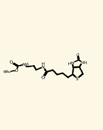 CC(C)(C)OC(=O)NCCCNC(=O)CCCCC1SCC2NC(=O)NC21